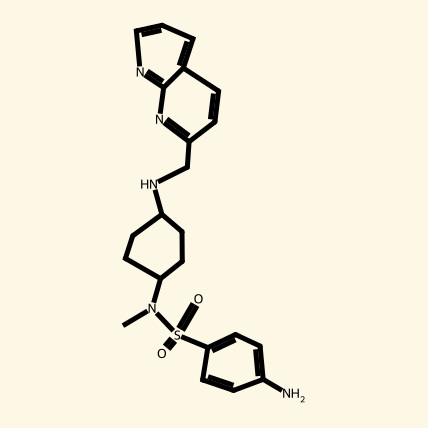 CN(C1CCC(NCc2ccc3cccnc3n2)CC1)S(=O)(=O)c1ccc(N)cc1